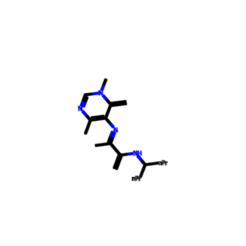 C=C(NC(CCC)CCC)/C(C)=N/C1=C(C)N=CN(C)C1=C